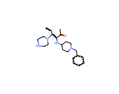 C=C/C(=C(/NC1CCN(Cc2ccccc2)CC1)C(C)=O)N1CCNCC1